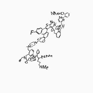 C#CCOC(=O)N(CC#C)Cc1cc(NC(=O)C(CCCNC)NC)ccc1C[N+]1(C)CCN(CCOc2ccc(-c3c(-c4ccc(F)cc4)sc4ncnc(OC(Cc5ccccc5OCc5ccnc(-c6ccccc6OC)n5)C(=O)O)c34)c(C)c2Cl)CC1